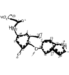 O=C(O)C(=O)Nc1cc(Cl)c(Oc2ccc3[nH]ccc3c2)c(Cl)c1